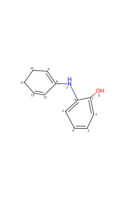 Oc1ccccc1NC1=CCCC=C1